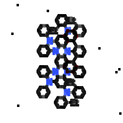 CCc1ccccc1N(c1cc2c3c(c1)n(-c1ccccc1)c1cc4c(cc1n3c1ccccc1n2-c1ccccc1)n1c2ccccc2n(-c2ccccc2)c2cc(N(c3ccccc3CC)c3ccccc3CC)cc(c21)n4-c1c(-c2ccccc2)cccc1-c1ccccc1)c1ccccc1CC